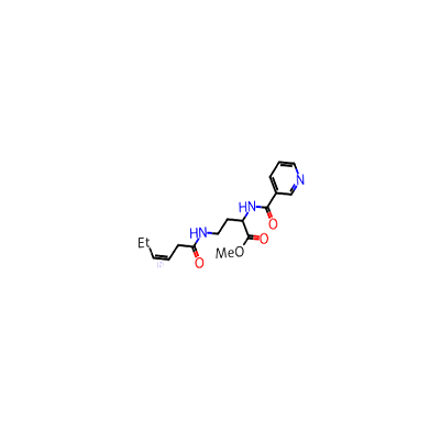 CC/C=C\CC(=O)NCCC(NC(=O)c1cccnc1)C(=O)OC